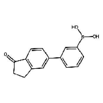 O=C1CCc2cc(-c3cccc(B(O)O)c3)ccc21